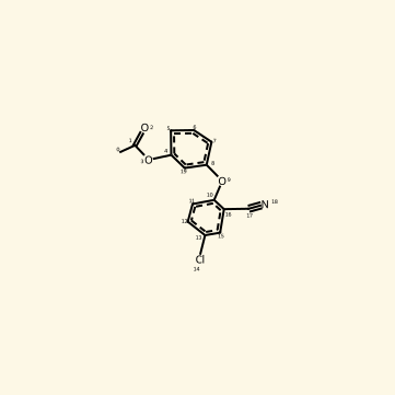 CC(=O)Oc1cccc(Oc2ccc(Cl)cc2C#N)c1